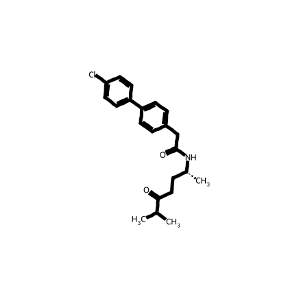 CC(C)C(=O)CC[C@@H](C)NC(=O)Cc1ccc(-c2ccc(Cl)cc2)cc1